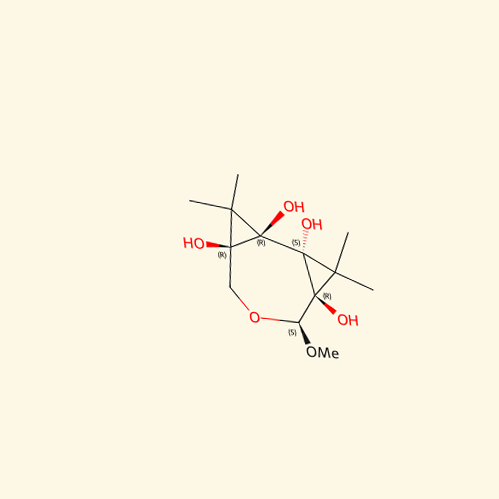 CO[C@H]1OC[C@]2(O)C(C)(C)[C@]2(O)[C@@]2(O)C(C)(C)[C@]12O